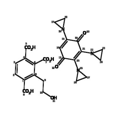 O=C(O)c1ccc(C(=O)O)c(C(=O)O)c1CCO.O=C1C=C(N2CC2)C(=O)C(N2CC2)=C1N1CC1